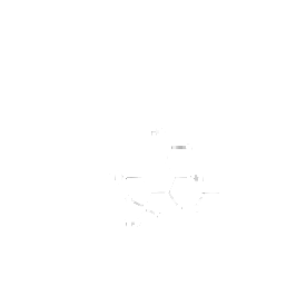 CC(=O)NC(CC(=O)O)C(=O)C(CN)S(=O)(=O)O